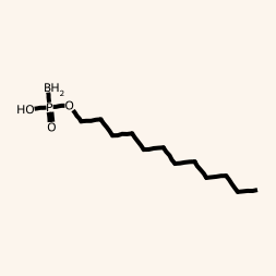 BP(=O)(O)OCCCCCCCCCCCC